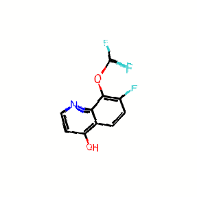 Oc1ccnc2c(OC(F)F)c(F)ccc12